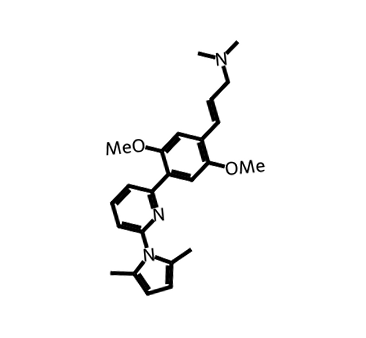 COc1cc(-c2cccc(-n3c(C)ccc3C)n2)c(OC)cc1C=CCN(C)C